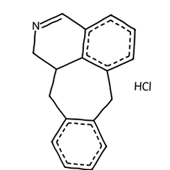 C1=NCC2Cc3ccccc3Cc3cccc1c32.Cl